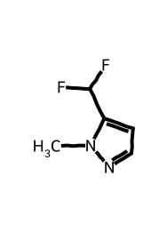 Cn1nccc1C(F)F